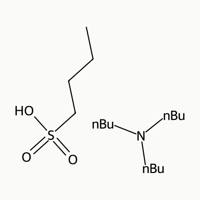 CCCCN(CCCC)CCCC.CCCCS(=O)(=O)O